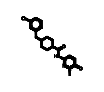 Cn1nc(NC(=O)C2CCN(Cc3cccc(Cl)c3)CC2)ccc1=O